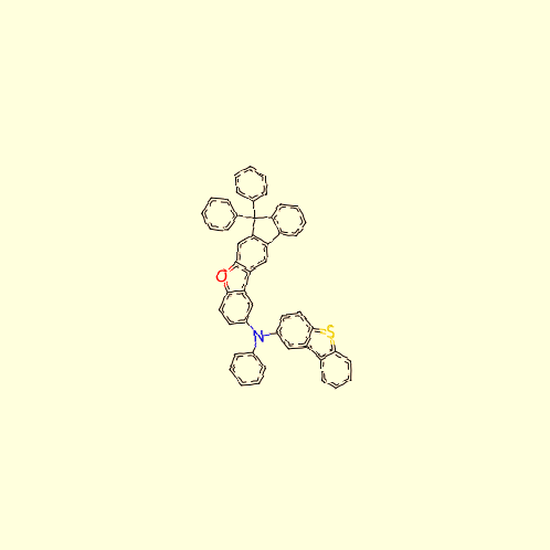 c1ccc(N(c2ccc3oc4cc5c(cc4c3c2)-c2ccccc2C5(c2ccccc2)c2ccccc2)c2ccc3sc4ccccc4c3c2)cc1